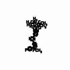 CC(C)(C)OC(=O)N(C(=O)OC(C)(C)C)c1nc2cc(-c3cncc(-c4cnn(C(c5ccc(F)cc5)C(C)(F)F)c4)n3)ccn2n1